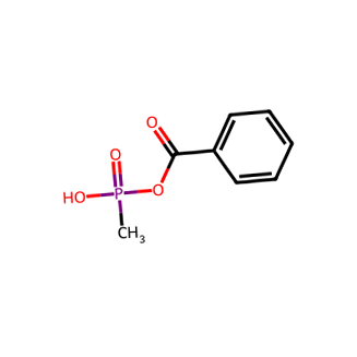 CP(=O)(O)OC(=O)c1ccccc1